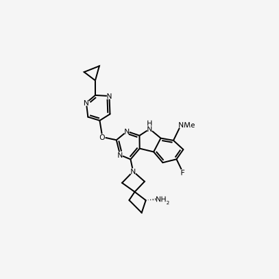 CNc1cc(F)cc2c1[nH]c1nc(Oc3cnc(C4CC4)nc3)nc(N3CC4(CC[C@H]4N)C3)c12